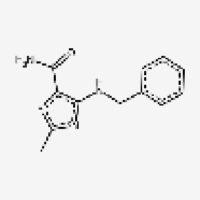 Cc1nc(NCc2ccccc2)c(C(N)=O)s1